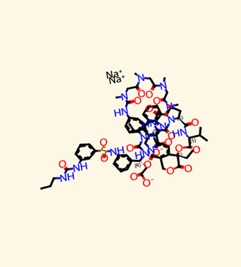 CCCNC(=O)Nc1cccc(S(=O)(=O)Nc2cccc([C@@H](CC(=O)[O-])NC(=O)Nc3ccc(NC(=O)N(C)CC(=O)N(C)CC(=O)N(C)CC(=O)N(C)CC(=O)N[C@@H](CC(=O)[O-])C(=O)N4CCC[C@H]4C(=O)N[C@H](C(=O)O[C@]4(CC)C(=O)OCc5c4cc4n(c5=O)Cc5c-4nc4ccccc4c5CC)C(C)C)cc3)c2)c1.[Na+].[Na+]